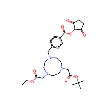 CCOC(=O)CN1CCN(CC(=O)OC(C)(C)C)CCN(Cc2ccc(C(=O)OC3C(=O)CCC3=O)cc2)CC1